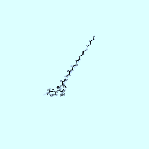 CCCCCCCCC/C=C/C=C/C=C/C=C/C=C/C(=O)N[C@H](C(=O)O)C(C)OP(=O)(O)O